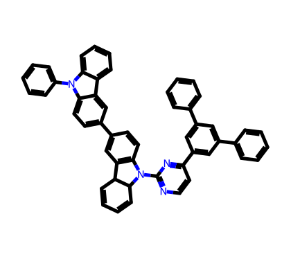 C1=CC2c3cc(-c4ccc5c(c4)c4ccccc4n5-c4ccccc4)ccc3N(c3nccc(-c4cc(-c5ccccc5)cc(-c5ccccc5)c4)n3)C2C=C1